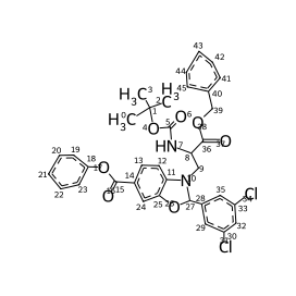 CC(C)(C)OC(=O)NC(CN1c2ccc(C(=O)Oc3ccccc3)cc2OC1c1cc(Cl)cc(Cl)c1)C(=O)OCc1ccccc1